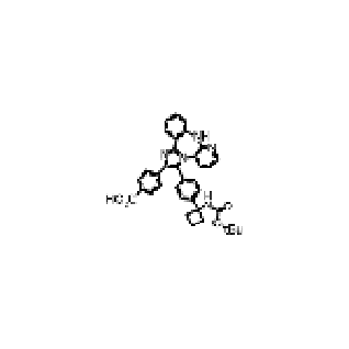 CC(C)(C)OC(=O)NC1(c2ccc(-c3c(-c4ccc(C(=O)O)cc4)nc4n3-c3cccnc3Nc3ccccc3-4)cc2)CCC1